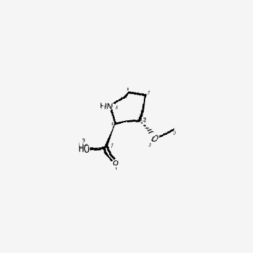 CO[C@H]1CCN[C@@H]1C(=O)O